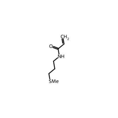 C=CC(=O)NCCCSC